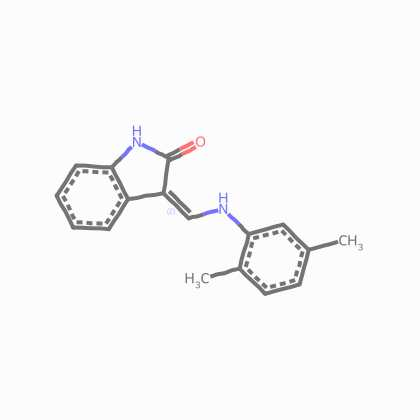 Cc1ccc(C)c(N/C=C2\C(=O)Nc3ccccc32)c1